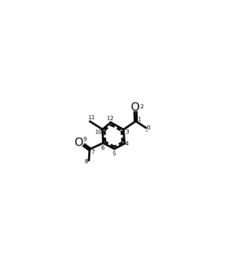 [CH2]C(=O)c1ccc(C(C)=O)c(C)c1